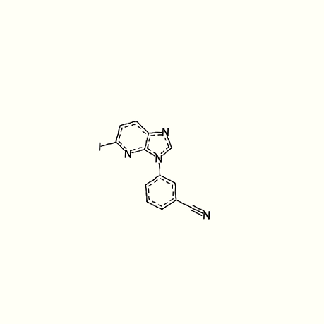 N#Cc1cccc(-n2cnc3ccc(I)nc32)c1